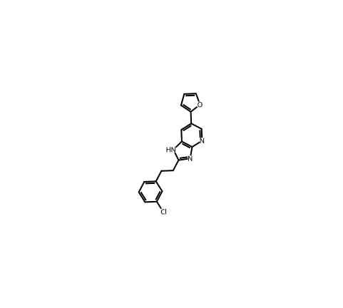 Clc1cccc(CCc2nc3ncc(-c4ccco4)cc3[nH]2)c1